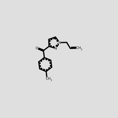 C=CCn1ccc(C(=O)c2ccc(C)cc2)n1